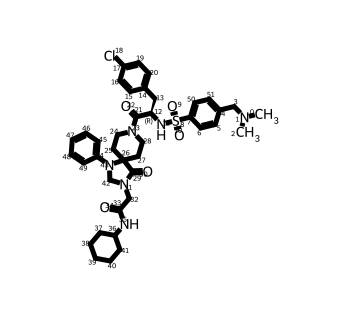 CN(C)Cc1ccc(S(=O)(=O)N[C@H](Cc2ccc(Cl)cc2)C(=O)N2CCC3(CC2)C(=O)N(CC(=O)NC2CCCCC2)CN3c2ccccc2)cc1